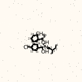 C.CCC(C)C#N.OC(=S)c1ccc(Cl)cc1.OC(=S)c1ccccc1